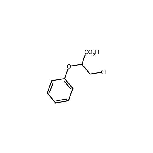 O=C(O)C(CCl)Oc1ccccc1